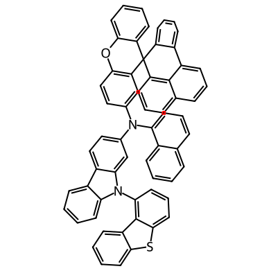 c1ccc2c(c1)Oc1ccc(N(c3ccc4c5ccccc5n(-c5cccc6sc7ccccc7c56)c4c3)c3cccc4ccccc34)cc1C21c2ccccc2-c2cccc3cccc1c23